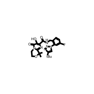 CC(C)(C)c1cn(-c2cc(F)ccc2CNC(=O)c2nc3n(c(=O)c2O)CCOC3(C)C)nn1